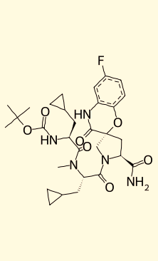 CN(C(=O)[C@H](CC1CC1)NC(=O)OC(C)(C)C)[C@@H](CC1CC1)C(=O)N1C[C@@]2(C[C@H]1C(N)=O)Oc1ccc(F)cc1NC2=O